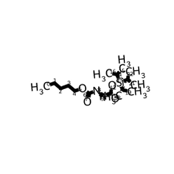 CCCCCOC(=O)/N=N/C(=O)O[Si](C(C)C)(C(C)C)C(C)C